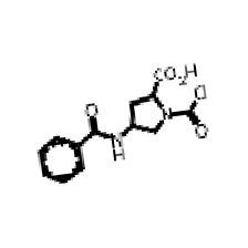 O=C(NC1CC(C(=O)O)N(C(=O)Cl)C1)c1ccccc1